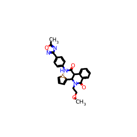 COCCN1C(=O)c2ccccc2C(C(=O)Nc2ccc(-c3noc(C)n3)cc2)C1c1cccs1